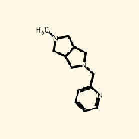 CN1CC2CN(Cc3ccccn3)CC2C1